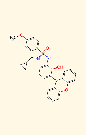 O=S(=NCC1CC1)(NC1=CCC=C(N2c3ccccc3Oc3ccccc32)[C@@H]1O)c1ccc(OC(F)(F)F)cc1